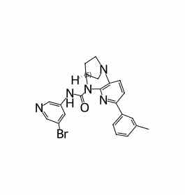 Cc1cccc(-c2ccc3c(n2)N(C(=O)Nc2cncc(Br)c2)[C@H]2CCN3C2)c1